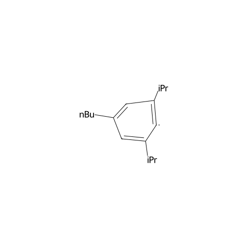 CCCCc1cc(C(C)C)[c]c(C(C)C)c1